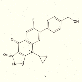 O=c1[nH]sc2c1c(=O)c1cc(F)c(-c3ccc(CO)cc3)cc1n2C1CC1